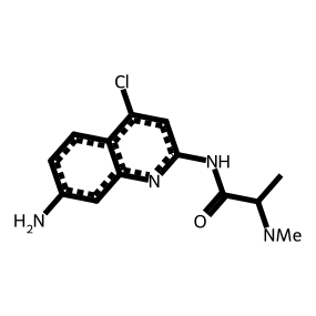 CNC(C)C(=O)Nc1cc(Cl)c2ccc(N)cc2n1